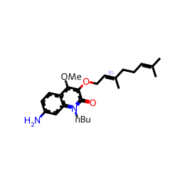 CCCCn1c(=O)c(OC/C=C(\C)CCC=C(C)C)c(OC)c2ccc(N)cc21